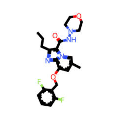 CCCc1nc2c(OCc3c(F)cccc3F)cc(C)cn2c1C(=O)NN1CCOCC1